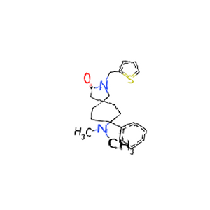 CN(C)C1(c2ccccc2)CCC2(CC1)CC(=O)N(Cc1cccs1)C2